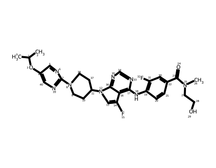 CC(C)Oc1cnc(N2CCC(n3cc(F)c4c(Nc5ccc(C(=O)N(C)CCO)cc5F)ncnc43)CC2)nc1